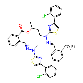 CCOC(=O)c1ccccc1/C=N/N(CCC(C)OC(=O)c1ccccc1/C=N/N(C)c1nc(-c2ccccc2Cl)cs1)c1nc(-c2ccccc2Cl)cs1